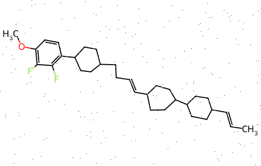 C/C=C/C1CCC(C2CCC(/C=C/CCC3CCC(c4ccc(OC)c(F)c4F)CC3)CC2)CC1